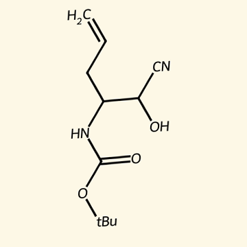 C=CCC(NC(=O)OC(C)(C)C)C(O)C#N